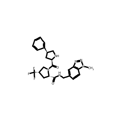 Cn1nnc2cc(CNC(=O)[C@@H]3C[C@H](C(F)(F)F)CN3C(=O)[C@H]3C[C@@H](c4ccccc4)CN3)ccc21